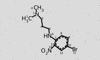 CN(C)CCCNc1ccc(Br)cc1[N+](=O)[O-]